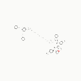 CC(C)(C)[Si](C)(C)Oc1ccc(N(C(=O)c2cc(-c3cc4c(cc3C(=O)N3Cc5ccccc5C[C@H]3CN3CCN(CCOCCOCCOCCOCCN(Cc5ccc(OCc6ccccc6)c(OCCc6ccccc6)c5)C(=O)O)CC3)OCO4)n3c2CCCC3)c2ccccc2)cc1